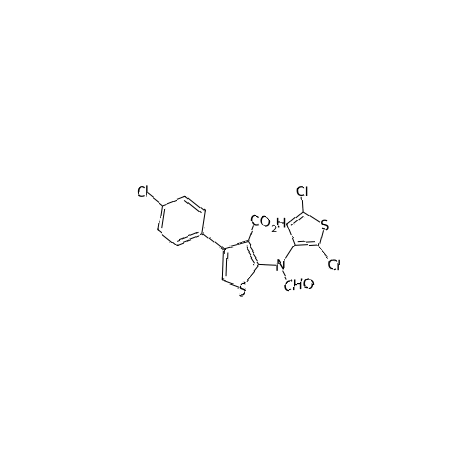 O=CN(c1cc(Cl)sc1Cl)c1scc(-c2ccc(Cl)cc2)c1C(=O)O